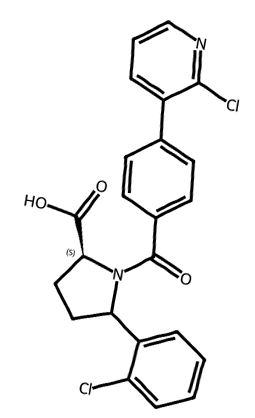 O=C(O)[C@@H]1CCC(c2ccccc2Cl)N1C(=O)c1ccc(-c2cccnc2Cl)cc1